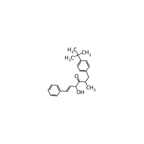 CC(Cc1ccc(C(C)(C)C)cc1)C(=O)C(O)C=Cc1ccccc1